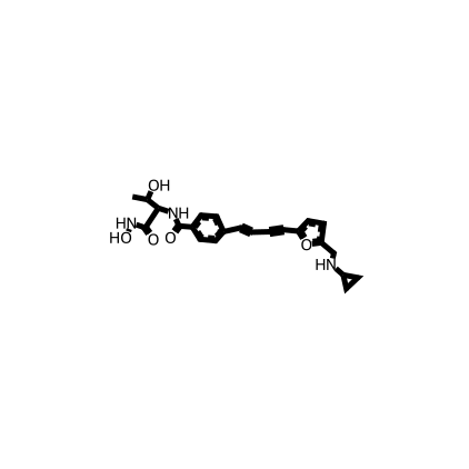 CC(O)C(NC(=O)c1ccc(C#CC#Cc2ccc(CNC3CC3)o2)cc1)C(=O)NO